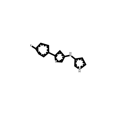 Fc1ccc(-c2cc(Nc3cc[nH]c3)cs2)cc1